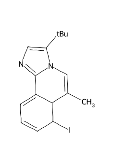 CC1=Cn2c(C(C)(C)C)cnc2C2=CC=CC(I)C12